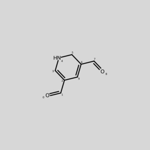 O=CC1=CNCC(C=O)=C1